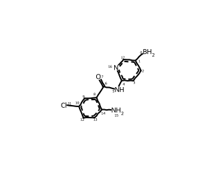 Bc1ccc(NC(=O)c2cc(Cl)ccc2N)nc1